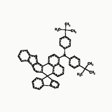 CC(C)(C)c1ccc(N(c2ccc(C(C)(C)C)cc2)c2ccc3c4c(cccc24)C2(c4ccccc4-c4ccccc42)c2ccc4c(sc5ccccc54)c2-3)cc1